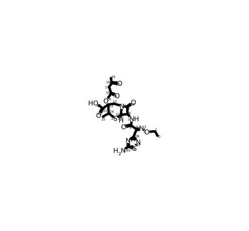 CCON=C(C(=O)NC1C(=O)N2CC(OC(=O)CC(C)=O)(C(=O)O)C(C)S[C@H]12)c1nsc(N)n1